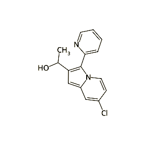 CC(O)c1cc2cc(Cl)ccn2c1-c1ccccn1